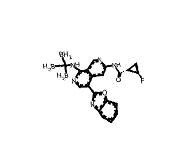 BC(B)(B)Nc1ncc(-c2nc3ccccc3o2)c2cc(NC(=O)[C@@H]3C[C@H]3F)ncc12